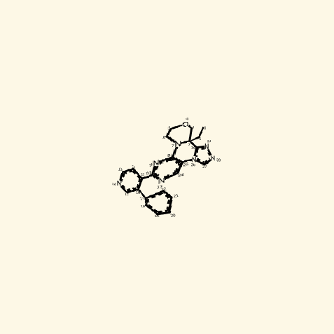 CC[C@]12COCCN1c1nc(-c3ccncc3-c3ccccc3)ncc1-n1cnnc12